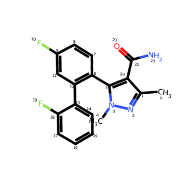 Cc1nn(C)c(-c2ccc(F)cc2-c2ccccc2F)c1C(N)=O